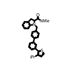 CNC(=O)C1Cc2ccccc2N1Cc1ccc(-c2cccc(-c3sccc3C(C)C)c2)cc1